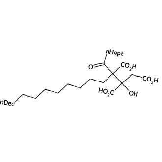 CCCCCCCCCCCCCCCCCCC(C(=O)O)(C(=O)CCCCCCC)C(O)(CC(=O)O)C(=O)O